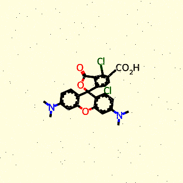 CN(C)c1ccc2c(c1)Oc1cc(N(C)C)ccc1C21OC(=O)c2c(Cl)c(C(=O)O)cc(Cl)c21